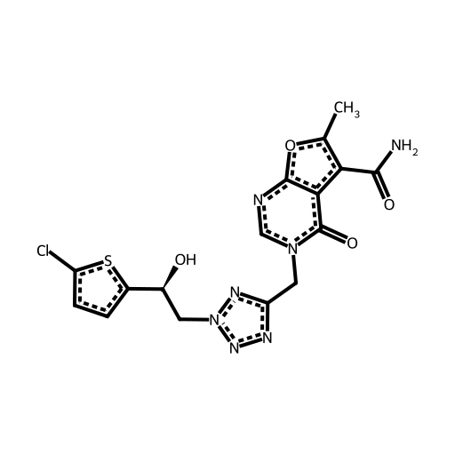 Cc1oc2ncn(Cc3nnn(C[C@H](O)c4ccc(Cl)s4)n3)c(=O)c2c1C(N)=O